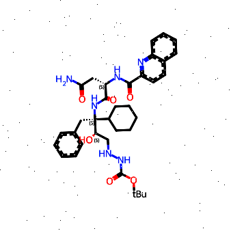 CC(C)(C)OC(=O)NNC[C@H](O)[C@@](Cc1ccccc1)(NC(=O)[C@H](CC(N)=O)NC(=O)c1ccc2ccccc2n1)C1CCCCC1